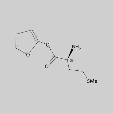 CSCC[C@H](N)C(=O)Oc1ccco1